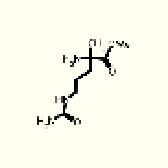 COC(=O)C(C)(N)CCCNC(N)=O